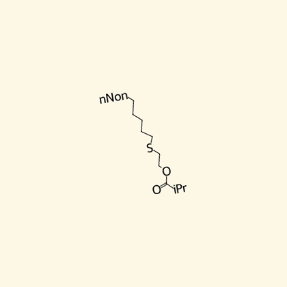 CCCCCCCCCCCCCCSCCOC(=O)C(C)C